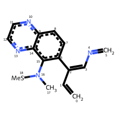 C=C/C(=C/N=C)c1ccc2nccnc2c1N(C)SC